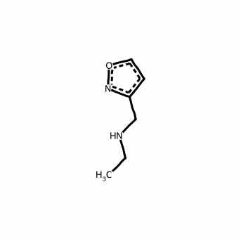 CCNCc1ccon1